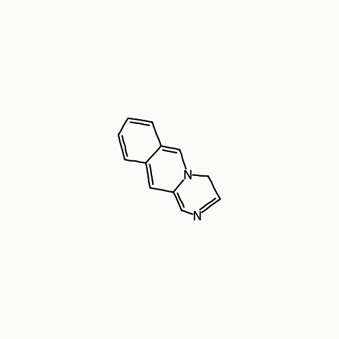 C1=NC=C2C=c3ccccc3=CN2C1